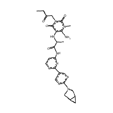 CCC(=O)Cn1c(=O)c(NC(C)C(=O)Nc2ccnc(-c3cnc(N4CC5CC5C4)nc3)n2)c(N)n(C)c1=O